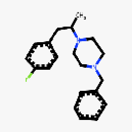 CC(Cc1ccc(F)cc1)N1CCN(Cc2ccccc2)CC1